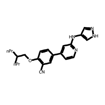 CCCC(CCC)COc1ccc(-c2ccnc(Nc3cn[nH]c3)c2)cc1C#N